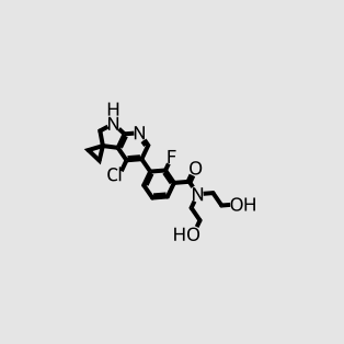 O=C(c1cccc(-c2cnc3c(c2Cl)C2(CC2)CN3)c1F)N(CCO)CCO